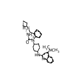 C1CCC1.CN(C)c1cc(NC2CCC(N(C(N)=O)c3ccccc3CN)CC2)nc2ccccc12